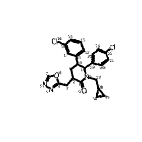 O=C1C(Cc2nnco2)CC(c2cccc(Cl)c2)C(c2ccc(Cl)cc2)N1CC1CC1